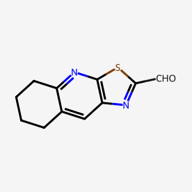 O=Cc1nc2cc3c(nc2s1)CCCC3